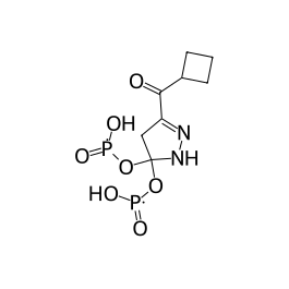 O=C(C1=NNC(O[P](=O)O)(O[P](=O)O)C1)C1CCC1